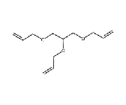 C=CCOCC(COCC=C)OCC=C